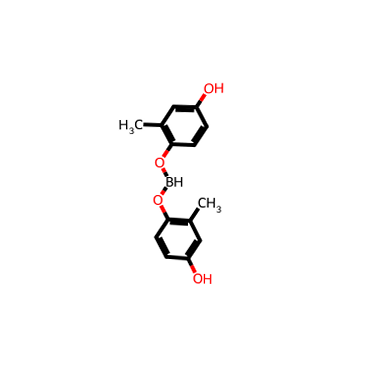 Cc1cc(O)ccc1OBOc1ccc(O)cc1C